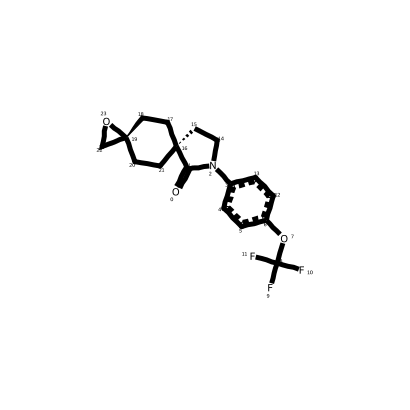 O=C1N(c2ccc(OC(F)(F)F)cc2)CC[C@]12CC[C@@]1(CC2)CO1